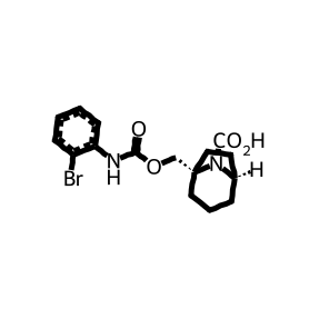 O=C(Nc1ccccc1Br)OC[C@]12CCC[C@H](CC1)N2C(=O)O